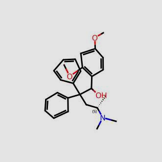 COc1ccc(C(O)C(C[C@H](C)N(C)C)(c2ccccc2)c2ccccc2)c(OC)c1